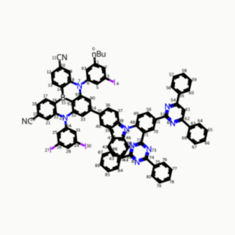 CCCCc1cc(I)cc(N2c3cc(C#N)ccc3B3c4ccc(C#N)cc4N(c4cc(I)cc(I)c4)c4cc(-c5ccc6c(c5)c5ccccc5n6-c5ccc(-c6nc(-c7ccccc7)cc(-c7ccccc7)n6)cc5-c5nc(-c6ccccc6)nc(-c6ccccc6)n5)cc2c43)c1